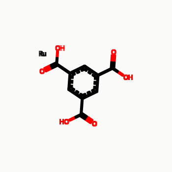 O=C(O)c1cc(C(=O)O)cc(C(=O)O)c1.[Ru]